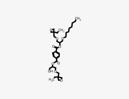 CCCCCCCCOCC(COCC1(CC)COC1)OC(=O)c1ccc(C(=O)OC(CO)COCC2(CC)COC2)cc1